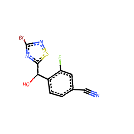 N#Cc1ccc(C(O)c2nc(Br)ns2)c(F)c1